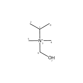 CC(C)[N+](C)(C)CO